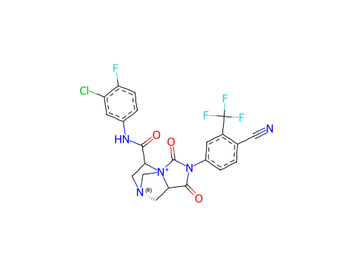 N#Cc1ccc(N2C(=O)C3C[N@]4CC(C(=O)Nc5ccc(F)c(Cl)c5)[N+]3(C4)C2=O)cc1C(F)(F)F